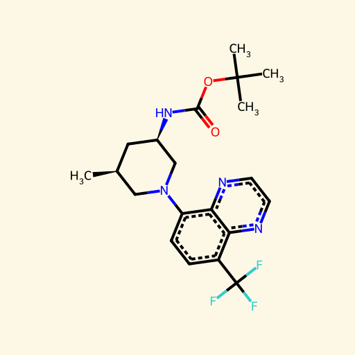 C[C@H]1C[C@@H](NC(=O)OC(C)(C)C)CN(c2ccc(C(F)(F)F)c3nccnc23)C1